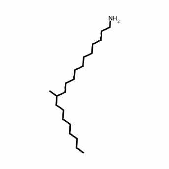 CCCCCCCCC(C)CCCCCCCCCCCN